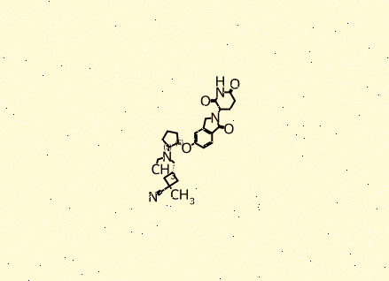 CCN(C[C@H]1C[C@@](C)(C#N)C1)[C@H]1CCC[C@@H]1Oc1ccc2c(c1)CN(C1CCC(=O)NC1=O)C2=O